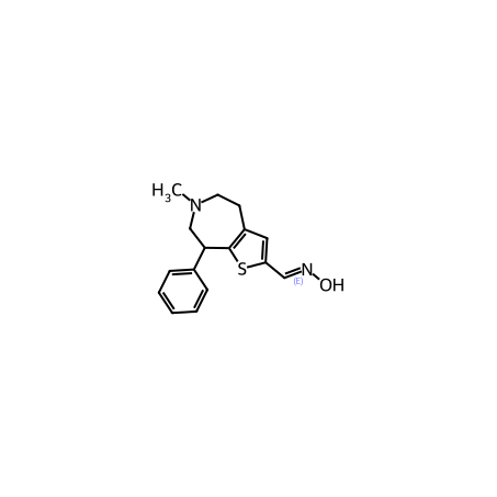 CN1CCc2cc(/C=N/O)sc2C(c2ccccc2)C1